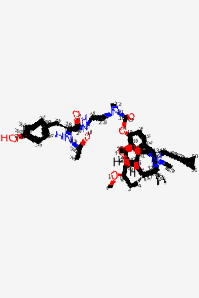 CO[C@]12CC[C@@]3(C[C@@H]1C(C)(C)O)[C@H]1Cc4ccc(OC(=O)N(C)CCNC(=O)[C@H](Cc5ccc(O)cc5)NC(C)=O)c5c4[C@@]3(CC[N+]1(C)CC1CC1)[C@H]2O5